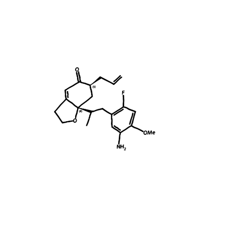 C=CC[C@H]1C[C@]2(C(C)Cc3cc(N)c(OC)cc3F)OCCC2=CC1=O